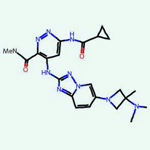 CNC(=O)c1nnc(NC(=O)C2CC2)cc1Nc1nc2ccc(N3CC(C)(N(C)C)C3)cn2n1